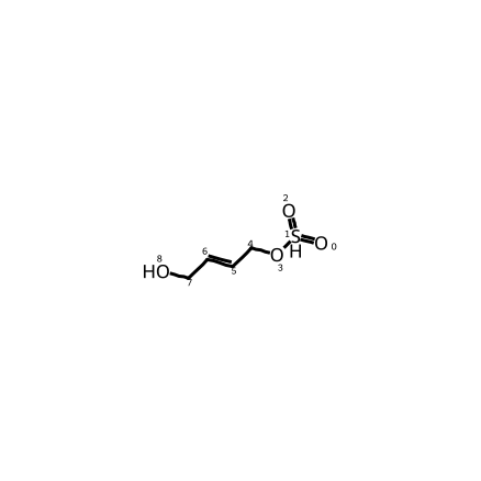 O=[SH](=O)OCC=CCO